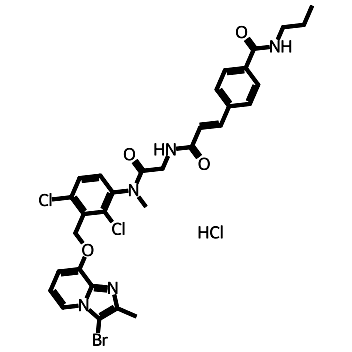 CCCNC(=O)c1ccc(C=CC(=O)NCC(=O)N(C)c2ccc(Cl)c(COc3cccn4c(Br)c(C)nc34)c2Cl)cc1.Cl